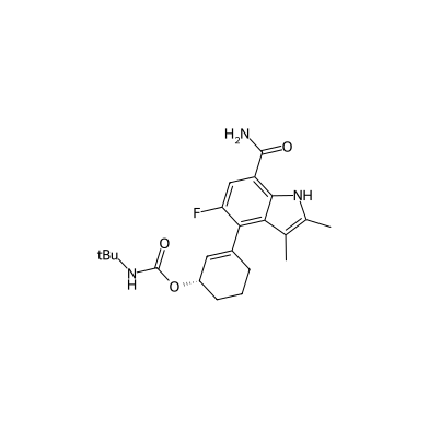 Cc1[nH]c2c(C(N)=O)cc(F)c(C3=C[C@@H](OC(=O)NC(C)(C)C)CCC3)c2c1C